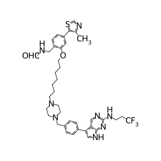 Cc1ncsc1-c1ccc(CNC=O)c(OCCCCCCCN2CCN(Cc3ccc(-c4c[nH]c5nc(NCCC(F)(F)F)ncc45)cc3)CC2)c1